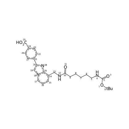 CC(C)(C)OC(=O)NCCCCCC(=O)NCc1cccn2cc(-c3ccc(C(=O)O)cc3)nc12